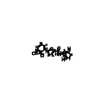 O=C(N[C@@H]1C[C@H]2CC[C@@H]1N2)c1ccc(-c2cccc(Cl)c2Cl)o1